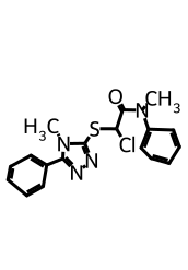 CN(C(=O)C(Cl)Sc1nnc(-c2ccccc2)n1C)c1ccccc1